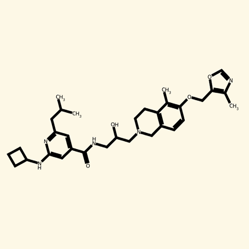 Cc1ncoc1COc1ccc2c(c1C)CCN(CC(O)CNC(=O)c1cc(CC(C)C)nc(NC3CCC3)c1)C2